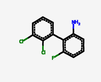 Nc1cccc(F)c1-c1cccc(Cl)c1Cl